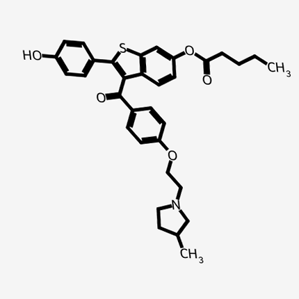 CCCCC(=O)Oc1ccc2c(C(=O)c3ccc(OCCN4CCC(C)C4)cc3)c(-c3ccc(O)cc3)sc2c1